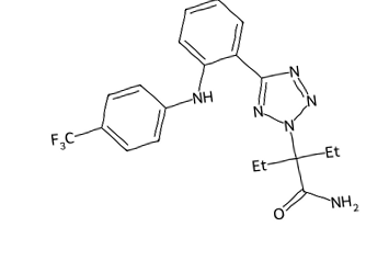 CCC(CC)(C(N)=O)n1nnc(-c2ccccc2Nc2ccc(C(F)(F)F)cc2)n1